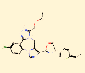 C=C(/C=C\C(F)=C/C)[C@H]1COC(c2ncn3c2Cn2c(COCC)nnc2-c2cc(Cl)ccc2-3)=N1